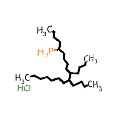 CCCCCCCC(CCCC)C(CCCC)CCCCC(P)CCCC.Cl